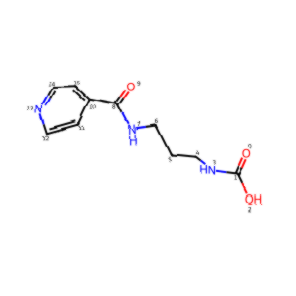 O=C(O)NCCCNC(=O)c1ccncc1